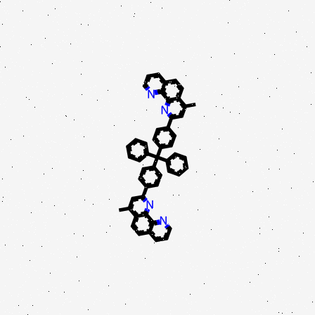 Cc1cc(-c2ccc(C(c3ccccc3)(c3ccccc3)c3ccc(-c4cc(C)c5ccc6cccnc6c5n4)cc3)cc2)nc2c1ccc1cccnc12